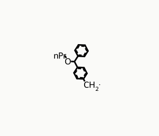 [CH2]c1ccc(C(OCCC)c2ccccc2)cc1